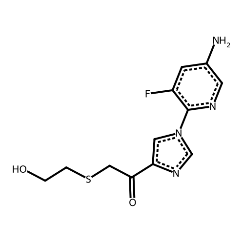 Nc1cnc(-n2cnc(C(=O)CSCCO)c2)c(F)c1